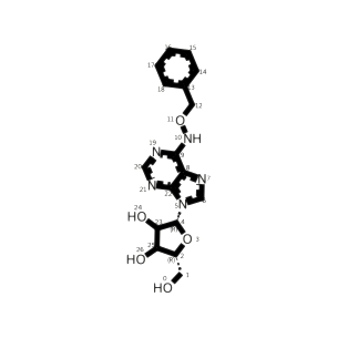 OC[C@H]1O[C@@H](n2cnc3c(NOCc4ccccc4)ncnc32)C(O)C1O